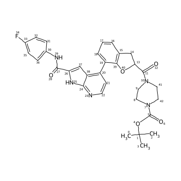 CC(C)(C)OC(=O)N1CCN(C(=O)C2Cc3cccc(-c4ccnc5[nH]c(C(=O)Nc6ccc(F)cc6)cc45)c3O2)CC1